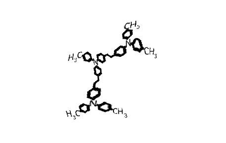 Cc1ccc(N(c2ccc(C)cc2)c2ccc(CCc3ccc(N(c4ccc(C)cc4)c4ccc(CCc5ccc(N(c6ccc(C)cc6)c6ccc(C)cc6)cc5)cc4)cc3)cc2)cc1